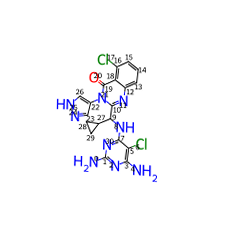 Nc1nc(N)c(Cl)c(NC(c2nc3cccc(Cl)c3c(=O)n2-c2cn[nH]c2)C2CC2)n1